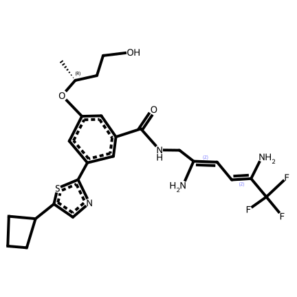 C[C@H](CCO)Oc1cc(C(=O)NC/C(N)=C/C=C(\N)C(F)(F)F)cc(-c2ncc(C3CCC3)s2)c1